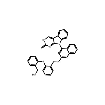 OCc1ccccc1Sc1ccccc1CNc1nc(-n2c3ccccc3c3n[nH]c(=S)nc32)c2ccccc2n1